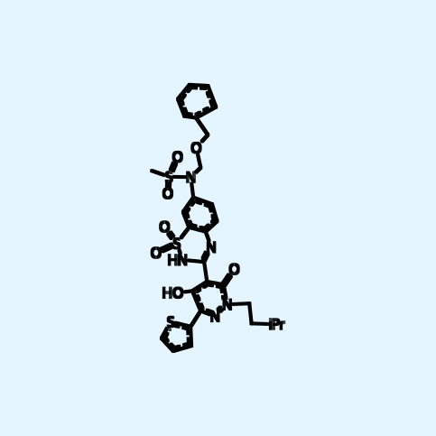 CC(C)CCn1nc(-c2cccs2)c(O)c(C2=Nc3ccc(N(COCc4ccccc4)S(C)(=O)=O)cc3S(=O)(=O)N2)c1=O